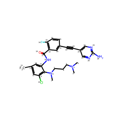 CN(C)CCCN(C)c1c(Cl)cc(C(F)(F)F)cc1NC(=O)c1cc(C#Cc2cnc(N)nc2)ccc1F